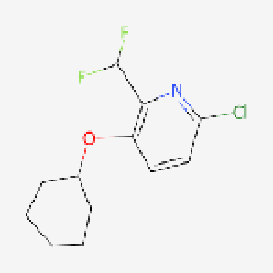 FC(F)c1nc(Cl)ccc1OC1CCCCC1